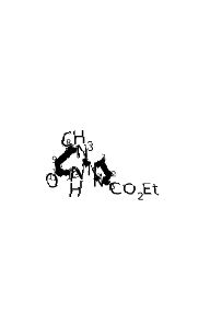 CCOC(=O)c1ccn(-c2nc(C)cc(=O)[nH]2)n1